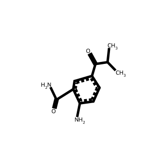 CC(C)C(=O)c1ccc(N)c(C(N)=O)c1